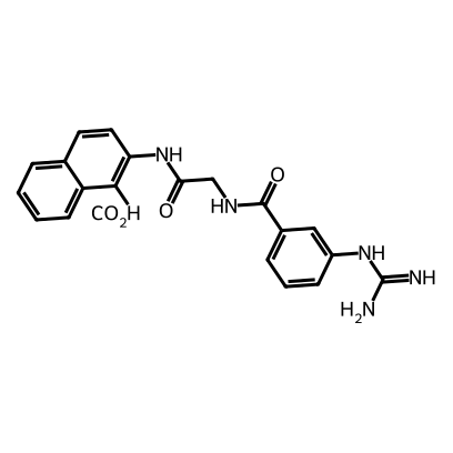 N=C(N)Nc1cccc(C(=O)NCC(=O)Nc2ccc3ccccc3c2C(=O)O)c1